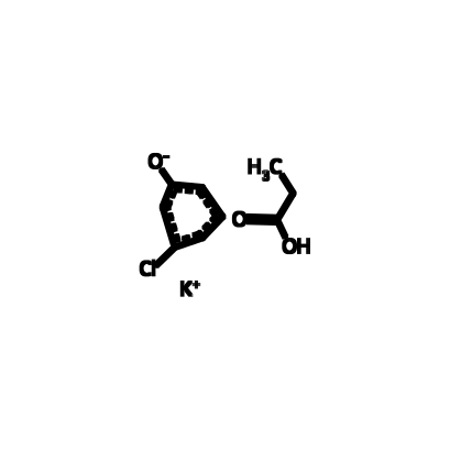 CCC(=O)O.[K+].[O-]c1cccc(Cl)c1